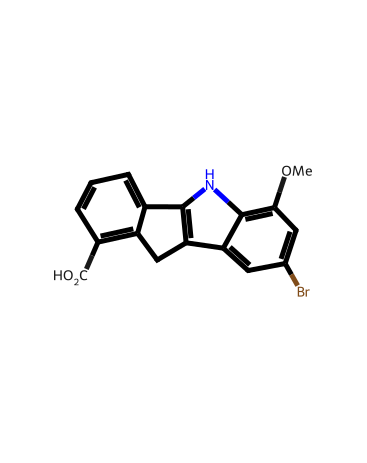 COc1cc(Br)cc2c3c([nH]c12)-c1cccc(C(=O)O)c1C3